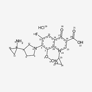 COc1c(N2CCC(C3(N)CC3)C2)c(F)cc2c(=O)c(C(=O)O)cn(C3CC3)c12.Cl